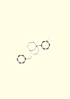 Oc1cccc(C23CCCC(C2)N(Cc2ccccc2)CC3)c1